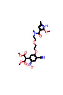 COC(=O)C(C(=O)OC)c1cc(OCCOCCN(C)C(=O)c2cc(C)[nH]c2OC)c(C#N)cc1[N+](=O)[O-]